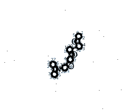 c1ccc2c(c1)oc1c(-c3cccc4c3oc3cc5oc6ccc(-n7c8ccccc8c8ccccc87)cc6c5cc34)cccc12